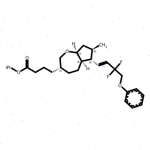 CC(C)OC(=O)CCC[C@H]1CC[C@@H]2[C@@H](/C=C/C(F)(F)COc3ccccc3)[C@H](C)C[C@@H]2OC1